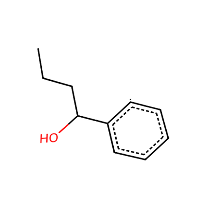 CCCC(O)c1[c]cccc1